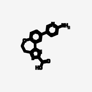 Nc1ccc(-c2ccc3c(c2)-c2nc(C(=O)O)sc2CCO3)cn1